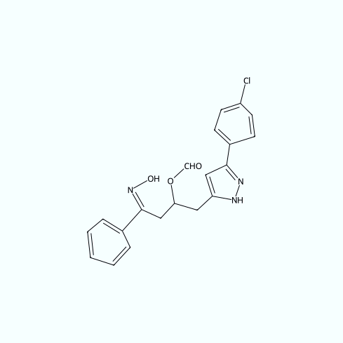 O=COC(CC(=NO)c1ccccc1)Cc1cc(-c2ccc(Cl)cc2)n[nH]1